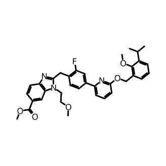 COCCn1c(Cc2ccc(-c3cccc(OCc4cccc(C(C)C)c4OC)n3)cc2F)nc2ccc(C(=O)OC)cc21